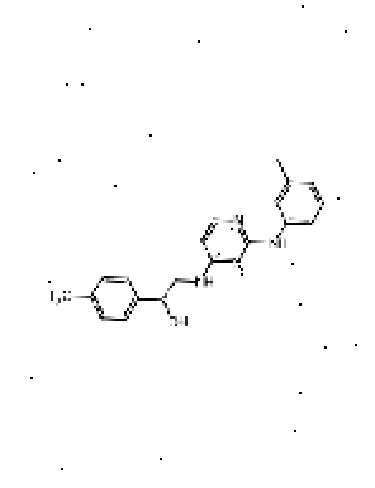 Cc1cccc(Nc2nccc(NCC(O)c3ccc(C(F)(F)F)cc3)n2)c1